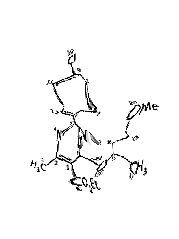 CCOC(=O)c1c(C)nc(-c2ccc(Cl)cc2)nc1OC(C)CCOC